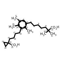 Cc1cc(CCCCCC(C)(C)C(=O)O)c(C)c(CCCCC2(C(=O)O)CC2)c1C